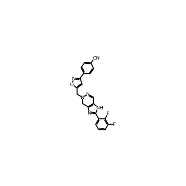 N#Cc1ccc(-c2cc(CN3Cc4nc(-c5cccc(F)c5F)[nH]c4C=N3)on2)cc1